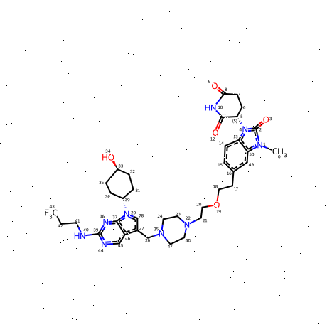 Cn1c(=O)n([C@H]2CCC(=O)NC2=O)c2ccc(CCOCCN3CCN(Cc4cn([C@H]5CC[C@H](O)CC5)c5nc(NCCC(F)(F)F)ncc45)CC3)cc21